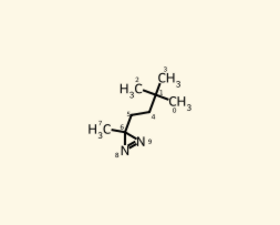 CC(C)(C)CCC1(C)N=N1